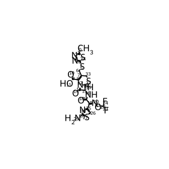 Cc1nnc(SCC2=C(C(=O)O)N3C(=O)C(NC(=O)C(=NOC(F)F)c4csc(N)n4)[C@@H]3SC2)s1